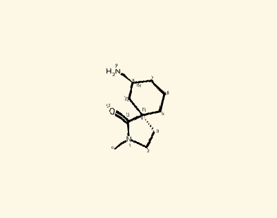 CN1CC[C@]2(CCC[C@H](N)C2)C1=O